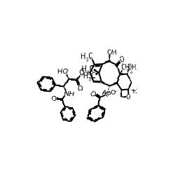 CC(=O)O[C@@]12CO[C@@H]1C[C@H](O)[C@@]1(C)C(=O)[C@H](O)C3=C(C)[C@@H](OC(=O)[C@H](O)[C@@H](NC(=O)c4ccccc4)c4ccccc4)CC([C@@H](OC(=O)c4ccccc4)C12)C3(C)C